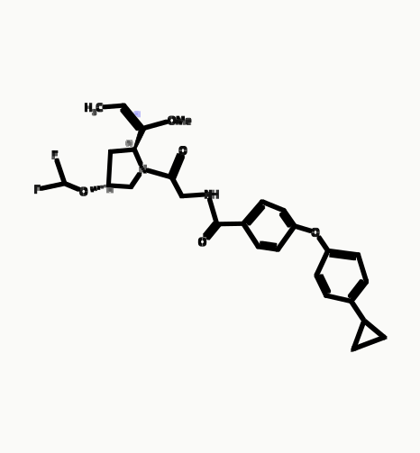 C/C=C(/OC)[C@@H]1C[C@@H](OC(F)F)CN1C(=O)CNC(=O)c1ccc(Oc2ccc(C3CC3)cc2)cc1